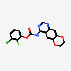 O=C(Nc1ncnc2cc3c(cc12)OCCO3)Oc1cccc(Cl)c1F